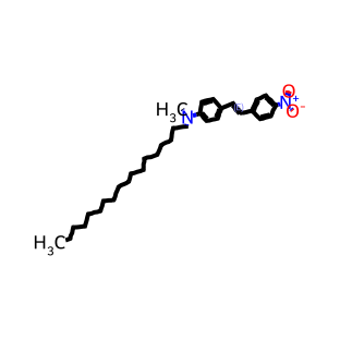 CCCCCCCCCCCCCCCCCCN(C)c1ccc(/C=C/c2ccc([N+](=O)[O-])cc2)cc1